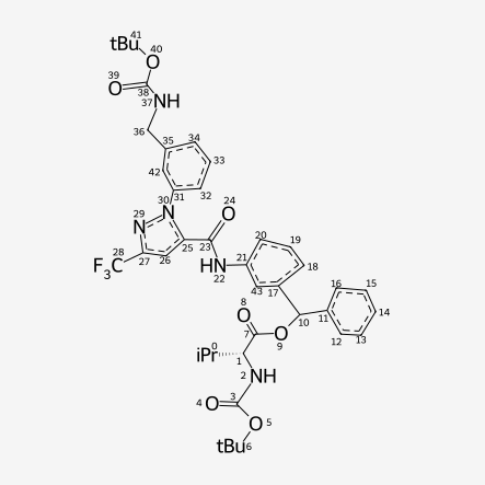 CC(C)[C@@H](NC(=O)OC(C)(C)C)C(=O)OC(c1ccccc1)c1cccc(NC(=O)c2cc(C(F)(F)F)nn2-c2cccc(CNC(=O)OC(C)(C)C)c2)c1